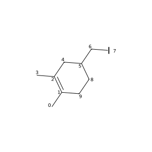 CC1=C(C)CC(CI)CC1